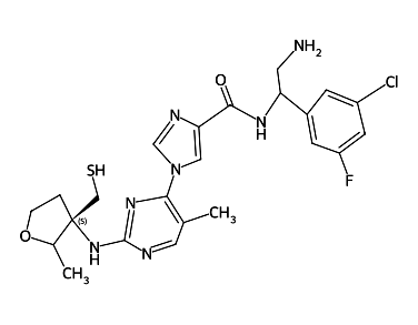 Cc1cnc(N[C@@]2(CS)CCOC2C)nc1-n1cnc(C(=O)NC(CN)c2cc(F)cc(Cl)c2)c1